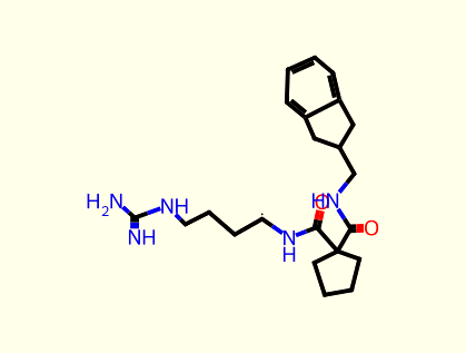 N=C(N)NCCC[CH]NC(=O)C1(C(=O)NCC2Cc3ccccc3C2)CCCC1